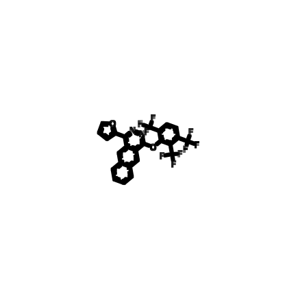 FC(F)(F)c1ccc(C(F)(F)F)c(C(F)(F)F)c1Oc1nnc(-c2ccco2)c2cc3ccccc3cc12